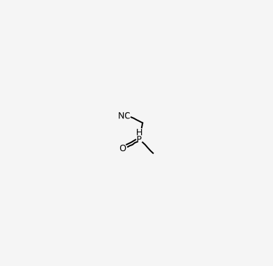 C[PH](=O)CC#N